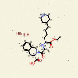 Br.Br.CCOC(=O)[C@H](CCCCC1CCNCC1)N[C@@H](C)C(=O)N1Cc2ccccc2C[C@H]1C(=O)O